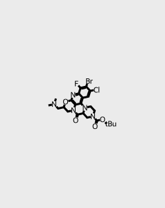 CN(C)CC1CN2C(=O)C3CN(C(=O)OC(C)(C)C)CCN3c3c2c(nc2c(F)c(Br)c(Cl)cc32)O1